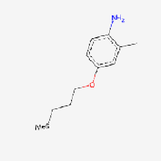 CSCCCOc1ccc(N)c(C)c1